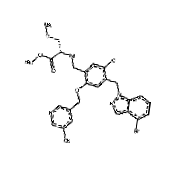 CC(C)(C)OC[C@H](NCc1cc(Cl)c(Cn2ncc3c(Br)cccc32)cc1OCc1cncc(C#N)c1)C(=O)OC(C)(C)C